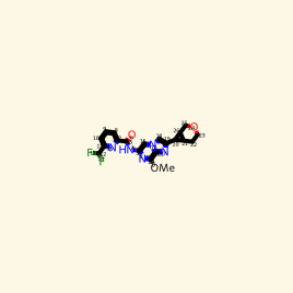 COc1nc(NC(=O)c2cccc(C(F)F)n2)cn2cc(C3C4CCOCC43)nc12